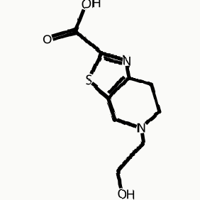 O=C(O)c1nc2c(s1)CN(CCO)CC2